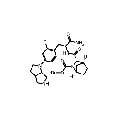 CC(C)(C)OC(=O)N1[C@@H]2CC[C@@H](C2)[C@H]1C(=O)N[C@@H](Cc1ccc(N2CCC3CNCC32)cc1F)C(N)=O